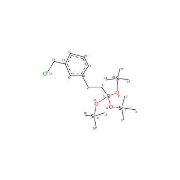 C[Si](C)(C)O[Si](CCc1cccc(CCl)c1)(O[Si](C)(C)C)O[Si](C)(C)C